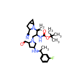 C=C(C(CN1CC(NC(C)c2cccc(F)c2)CC1C=O)NC(=O)OC(C)(C)C)N1C(C#N)CC2CC21